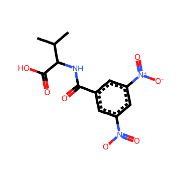 CC(C)C(NC(=O)c1cc([N+](=O)[O-])cc([N+](=O)[O-])c1)C(=O)O